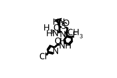 CC1(C2CC2)C(=N)N[C@](C)(c2cc(NC(=O)c3ccc(Cl)cn3)ccc2F)CS1(=N)=O